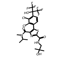 CC(C)N(C)C(=O)c1nc(C(=O)NCC(C)(C)O)sc1-c1ccc(C(O)(C(F)(F)F)C(F)(F)F)c(Cl)c1Cl